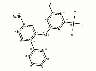 CC(=O)Nc1cc(Nc2cc(C)nc(C(C)(F)F)n2)c(-c2ncccn2)cn1